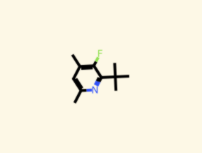 Cc1cc(C)c(F)c(C(C)(C)C)n1